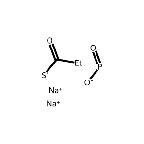 CCC(=O)[S-].O=P[O-].[Na+].[Na+]